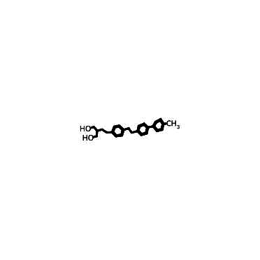 Cc1ccc(-c2ccc(CCc3ccc(CCC(CO)CO)cc3)cc2)cc1